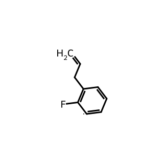 C=CCc1ccc[c]c1F